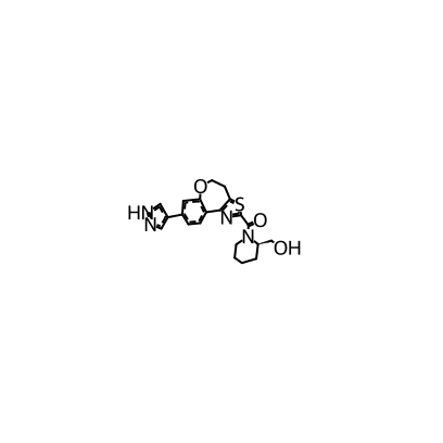 O=C(c1nc2c(s1)CCOc1cc(-c3cn[nH]c3)ccc1-2)N1CCCC[C@@H]1CO